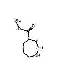 CC(C)(C)OC(=O)C1CCCNNC1